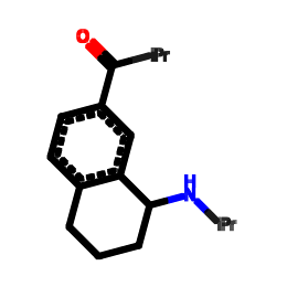 CC(C)NC1CCCc2ccc(C(=O)C(C)C)cc21